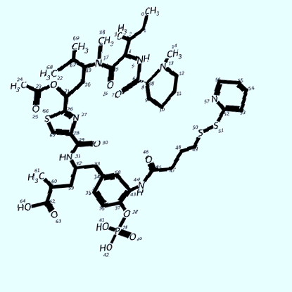 CCC(C)C(NC(=O)[C@H]1CCCCN1C)C(=O)N(C)C(CC(OC(C)=O)c1nc(C(=O)NC(Cc2ccc(OP(=O)(O)O)c(NC(=O)CCCSSc3ccccn3)c2)CC(C)C(=O)O)cs1)C(C)C